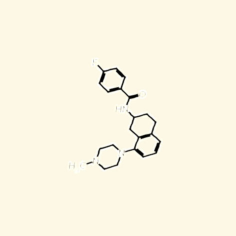 CN1CCN(c2cccc3c2CC(NC(=O)c2ccc(F)cc2)CC3)CC1